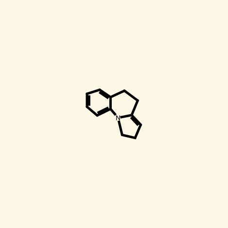 C1=C2CCc3ccccc3N2CC1